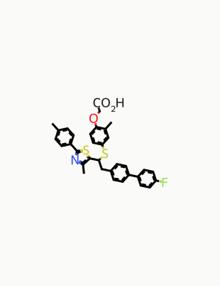 Cc1ccc(-c2nc(C)c(C(Cc3ccc(-c4ccc(F)cc4)cc3)Sc3ccc(OCC(=O)O)c(C)c3)s2)cc1